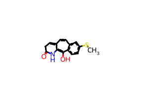 CSc1ccc2c(c1)C=CC1=CCC(=O)NC1=C2O